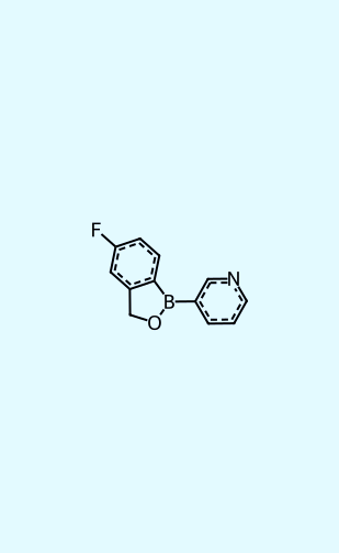 Fc1ccc2c(c1)COB2c1cccnc1